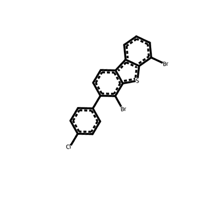 Clc1ccc(-c2ccc3c(sc4c(Br)cccc43)c2Br)cc1